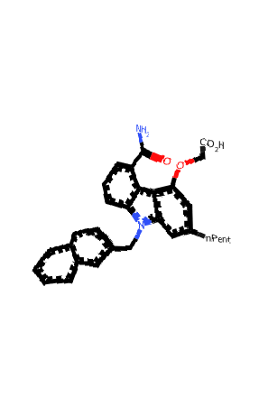 CCCCCc1cc(OCC(=O)O)c2c3c(C(N)=O)cccc3n(Cc3ccc4ccccc4c3)c2c1